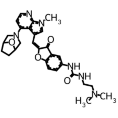 CN(C)CCNC(=O)Nc1ccc2c(c1)C(=O)C(=Cc1cn(C)c3nccc(N4CC5CCC(C4)O5)c13)O2